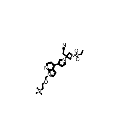 CCS(=O)(=O)N1CC(CC#N)(n2ccc(-c3ccnc4c3ccn4COCC[Si](C)(C)C)c2)C1